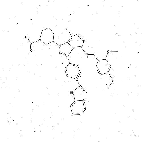 COc1ccc(CNc2ncc(Cl)c3c2c(-c2ccc(C(=O)Nc4ccccn4)cc2)nn3C2CCCN(C(=O)O)C2)c(OC)c1